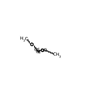 CCCCCCCCOc1ccc(-c2nnc(OCCC[C@H]3CC[C@H](CCCCC)CC3)s2)cc1